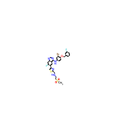 CS(=O)(=O)CCNCc1nc(-c2cc3c(Nc4ccc(OCc5cccc(F)c5)c(Br)c4)ncnc3cc2F)cs1